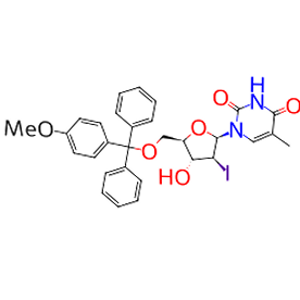 COc1ccc(C(OC[C@H]2O[C@@H](n3cc(C)c(=O)[nH]c3=O)[C@@H](I)[C@@H]2O)(c2ccccc2)c2ccccc2)cc1